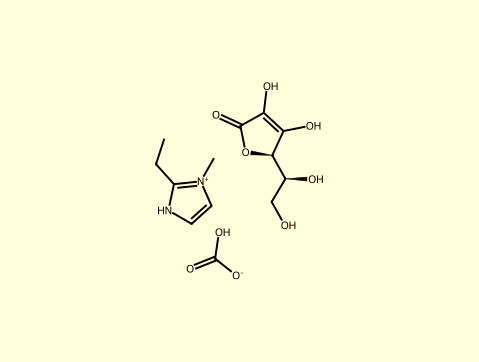 CCc1[nH]cc[n+]1C.O=C([O-])O.O=C1O[C@H]([C@@H](O)CO)C(O)=C1O